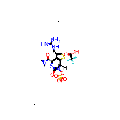 CN(C)C(=O)[C@@H]1c2c(CNC(=N)N)csc2[C@H]2CN1C(=O)N2OS(=O)(=O)O.O=C(O)C(F)(F)F